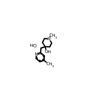 Cc1ccnc(CC2(O)CCN(C)CC2)c1.Cl